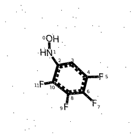 ONc1cc(F)c(F)c(F)c1F